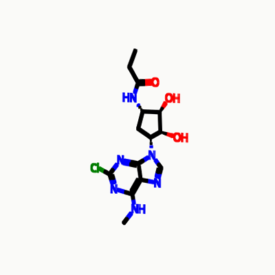 CCC(=O)N[C@H]1C[C@@H](n2cnc3c(NC)nc(Cl)nc32)[C@H](O)[C@@H]1O